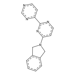 c1ccc2c(c1)CN(c1ccnc(-c3ccncn3)n1)C2